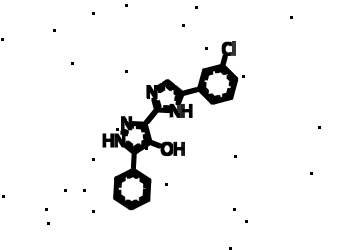 Oc1c(-c2ncc(-c3cccc(Cl)c3)[nH]2)n[nH]c1-c1ccccc1